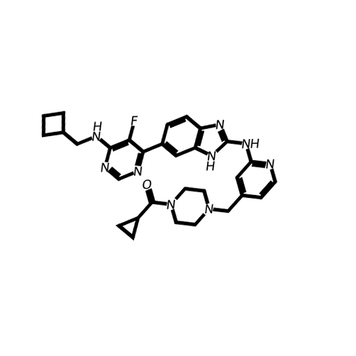 O=C(C1CC1)N1CCN(Cc2ccnc(Nc3nc4ccc(-c5ncnc(NCC6CCC6)c5F)cc4[nH]3)c2)CC1